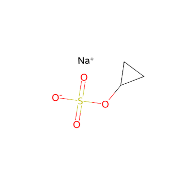 O=S(=O)([O-])OC1CC1.[Na+]